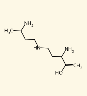 C=C(O)C(N)CCNCCC(C)N